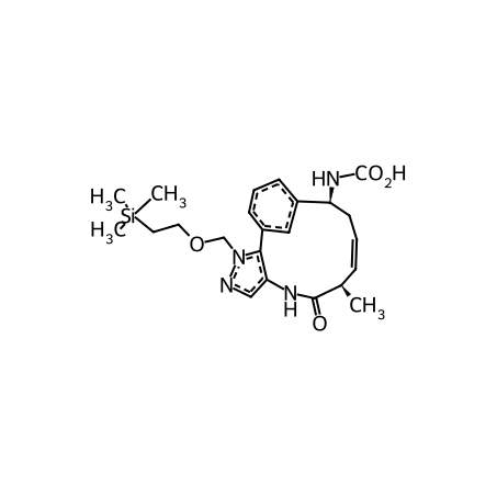 C[C@@H]1C=CC[C@H](NC(=O)O)c2cccc(c2)-c2c(cnn2COCC[Si](C)(C)C)NC1=O